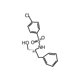 O=S(=O)(N[C@@H](CO)Cc1ccccc1)c1ccc(Cl)cc1